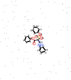 O=C(Oc1ccccc1)/C(=C\Nc1ccccc1)S(=O)(=O)Oc1ccccc1